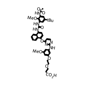 COc1cc(Nc2nccc(Oc3ccc(NC(=O)Nc4cc(C(C)(C)C)cc(NS(C)(=O)=O)c4OC)c4ccccc34)n2)cc(OCCOCCC(=O)O)c1